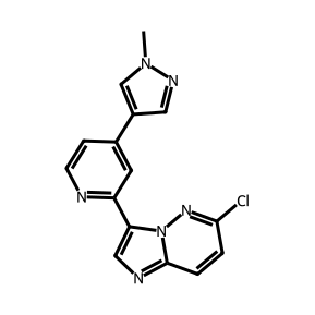 Cn1cc(-c2ccnc(-c3cnc4ccc(Cl)nn34)c2)cn1